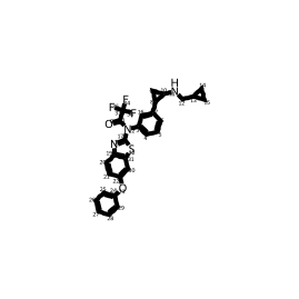 O=C(N(c1cccc(C2CC2NCC2CC2)c1)c1nc2ccc(Oc3ccccc3)cc2s1)C(F)(F)F